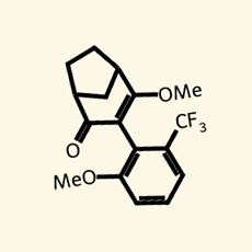 COC1=C(c2c(OC)cccc2C(F)(F)F)C(=O)C2CCC1C2